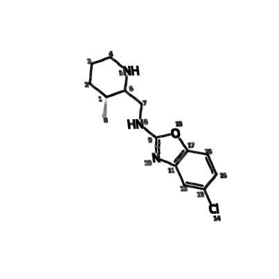 C[C@@H]1CCCNC1CNc1nc2cc(Cl)ccc2o1